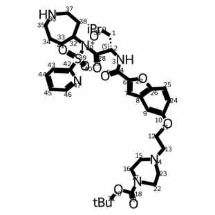 CC(C)C[C@H](NC(=O)c1cc2cc(OCCN3CCN(C(=O)OC(C)(C)C)CC3)ccc2o1)C(=O)[N+]([O-])(C1CCCNCC1)S(=O)(=O)c1ccccn1